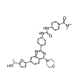 CC(O)c1ccc(-c2ccc3c(N4CCOCC4)nc(-c4ccc(NC(=O)Nc5ccc(C(=O)N(C)C)cc5)cc4)nc3c2)o1